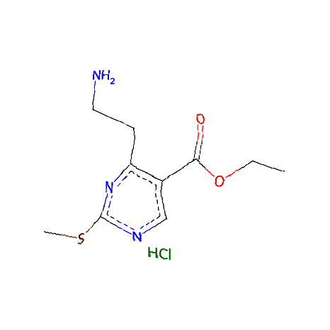 CCOC(=O)c1cnc(SC)nc1CCN.Cl